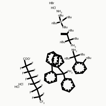 Br.C=C(CCCC)C(P)(CCCC)CCCC.CCCC[N+](CCCC)(CCCC)CCCC.CCCCc1ccccc1C(N)(CCCC)CCCC.Cl.Cl.Cl.N.O=C([O-])C(F)(F)C(F)(F)C(F)(F)C(F)(F)C(F)(F)C(F)(F)C(F)(F)F.PC(c1ccccc1)(c1ccccc1)c1ccccc1-c1ccccc1